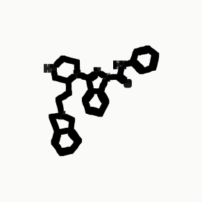 O=C(Nc1ccccc1)n1nc(N2CCNCC2CCN2Cc3ccccc3C2)c2ccccc21